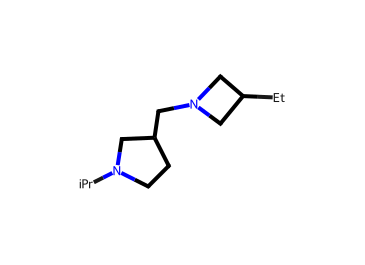 CCC1CN(CC2CCN(C(C)C)C2)C1